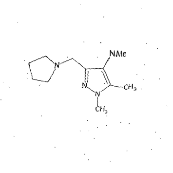 CNc1c(CN2CCCC2)nn(C)c1C